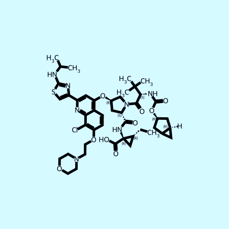 CC[C@@H]1C[C@]1(NC(=O)[C@@H]1C[C@@H](Oc2cc(-c3csc(NC(C)C)n3)nc3c(Cl)c(OCCN4CCOCC4)ccc23)CN1C(=O)[C@@H](NC(=O)O[C@@H]1CC2C[C@@H]2C1)C(C)(C)C)C(=O)O